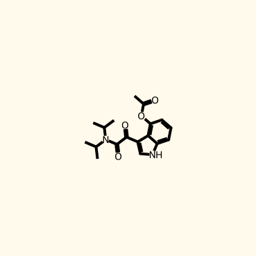 CC(=O)Oc1cccc2[nH]cc(C(=O)C(=O)N(C(C)C)C(C)C)c12